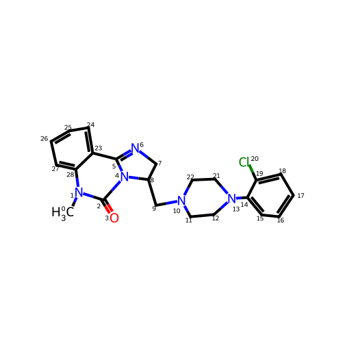 CN1C(=O)N2C(=NCC2CN2CCN(c3ccccc3Cl)CC2)c2ccccc21